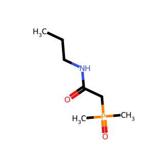 CCCNC(=O)CP(C)(C)=O